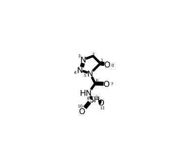 O=C1CN=NN1C(=O)N[SH](=O)=O